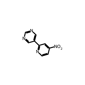 O=[N+]([O-])c1ccnc(-c2cncnc2)c1